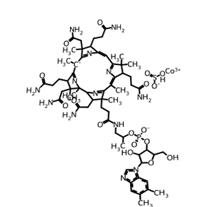 CC1=C2N=C(C=C3N=C([C-](C)C4=NC(C)(C5N=C1C(C)(CCC(=O)NCC(C)OP(=O)([O-])OC1C(CO)OC(n6cnc7cc(C)c(C)cc76)C1O)C5CC(N)=O)C(C)(CC(N)=O)C4CCC(N)=O)C(C)(CC(N)=O)C3CCC(N)=O)C(C)(C)C2CCC(N)=O.O=S([O-])O.[Co+3]